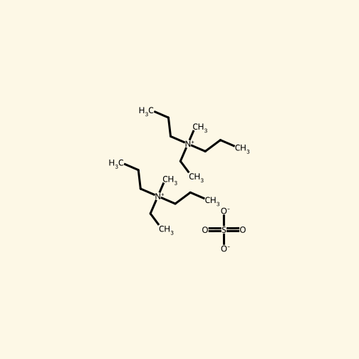 CCC[N+](C)(CC)CCC.CCC[N+](C)(CC)CCC.O=S(=O)([O-])[O-]